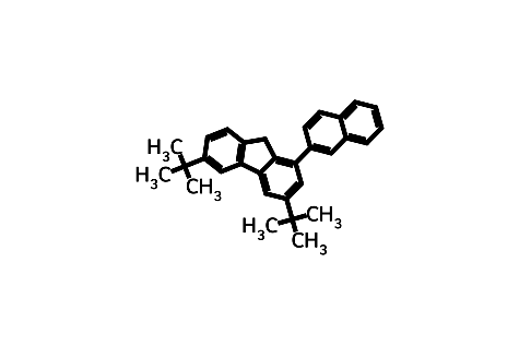 CC(C)(C)c1ccc2c(c1)-c1cc(C(C)(C)C)cc(-c3ccc4ccccc4c3)c1C2